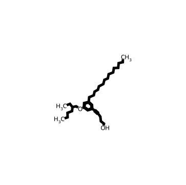 CCCCCCCCCCCCCCCc1cc(C#CCCCO)cc(OCC(CC)CCCC)c1